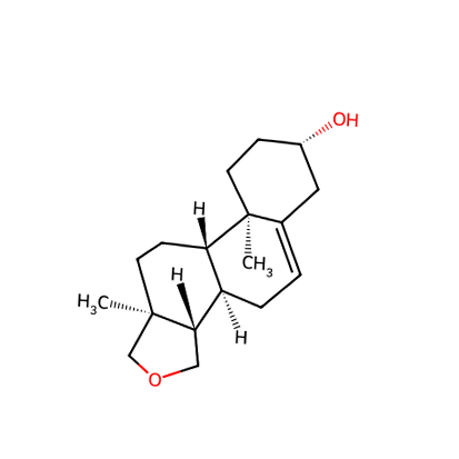 C[C@]12CC[C@H]3[C@@H](CC=C4C[C@@H](O)CC[C@@]43C)[C@@H]1COC2